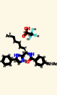 CC(=O)CCCCC[C@H](NC(=O)c1ccc(NC(C)=O)cc1)c1ncc(-c2ccccc2)[nH]1.O=C(O)C(F)(F)F